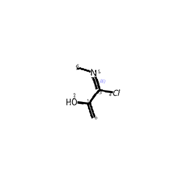 C=C(O)/C(Cl)=N\C